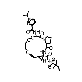 CCC(C)(C)S(=O)(=O)NC(=O)[C@@]12CC1/C=C\CCCCC[C@H](NC(=O)c1ccn(C(C)C)n1)C(=O)N1CCCC1C(=O)N2